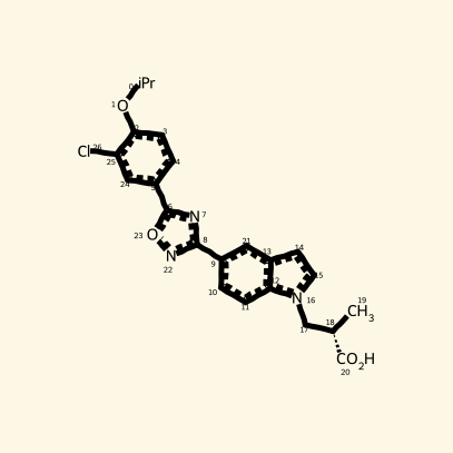 CC(C)Oc1ccc(-c2nc(-c3ccc4c(ccn4C[C@H](C)C(=O)O)c3)no2)cc1Cl